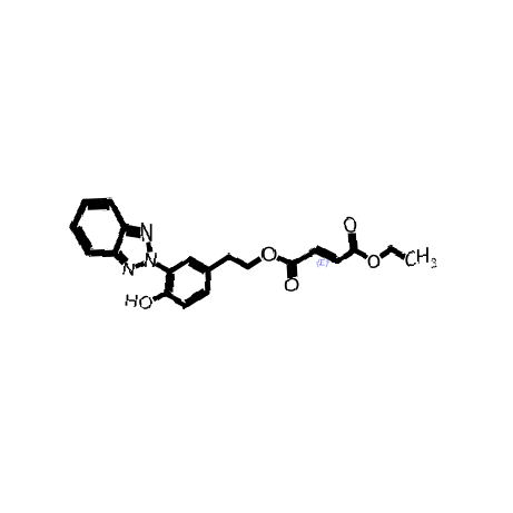 CCOC(=O)/C=C/C(=O)OCCc1ccc(O)c(-n2nc3ccccc3n2)c1